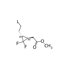 COC(=O)C[C@@H]1[C@@H](CCI)C1(F)F